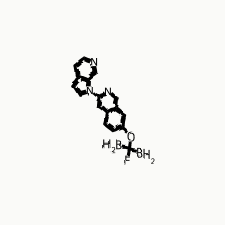 BC(B)(F)Oc1ccc2cc(-n3ccc4ccncc43)ncc2c1